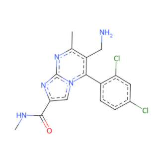 CNC(=O)c1cn2c(-c3ccc(Cl)cc3Cl)c(CN)c(C)nc2n1